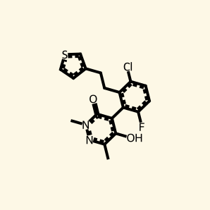 Cc1nn(C)c(=O)c(-c2c(F)ccc(Cl)c2CCc2ccsc2)c1O